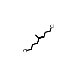 C/C(=C\CCCl)CCCCl